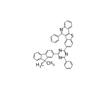 CC1(C)c2ccccc2-c2ccc(-c3nc(-c4ccccc4)nc(-c4ccc5sc6c7ccccc7nc(-c7ccccc7)c6c5c4)n3)cc21